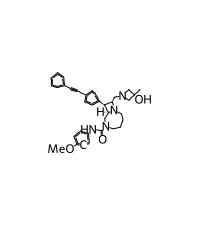 COc1ccc(NC(=O)N2CCCCN3[C@H](CN4CC(C)(O)C4)[C@H](c4ccc(C#Cc5ccccc5)cc4)[C@@H]3C2)cc1